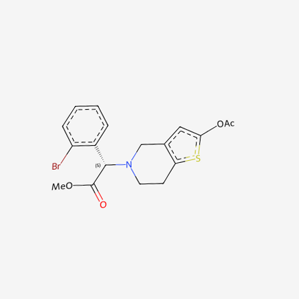 COC(=O)[C@H](c1ccccc1Br)N1CCc2sc(OC(C)=O)cc2C1